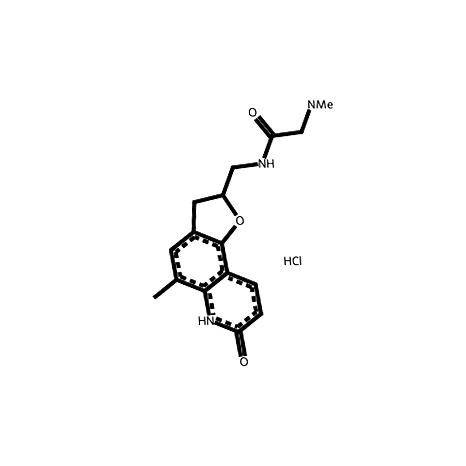 CNCC(=O)NCC1Cc2cc(C)c3[nH]c(=O)ccc3c2O1.Cl